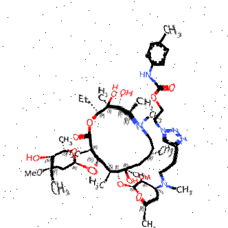 CC[C@H]1OC(=O)[C@H](C)[C@@H](O[C@H]2C[C@@](C)(OC)[C@@H](O)[C@H](C)O2)[C@H](C)[C@@H](O[C@@H]2O[C@H](C)C[C@H](N(C)CCc3cn(CCOC(=O)Nc4ccc(C)cc4)nn3)[C@H]2O)[C@](C)(O)C[C@@H](C)CN(C)[C@H](C)[C@@H](O)[C@]1(C)O